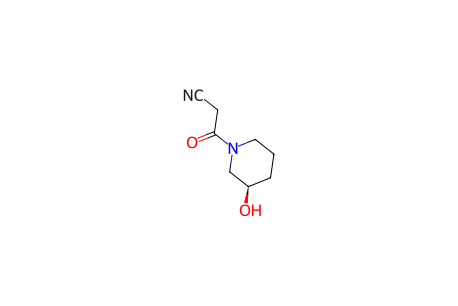 N#CCC(=O)N1CCC[C@@H](O)C1